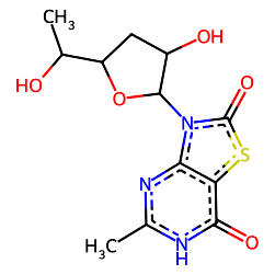 Cc1nc2c(sc(=O)n2C2OC(C(C)O)CC2O)c(=O)[nH]1